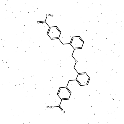 COC(=O)c1ccc(Cc2ccccc2COCc2ccccc2Cc2ccc(C(=O)OC)cc2)cc1